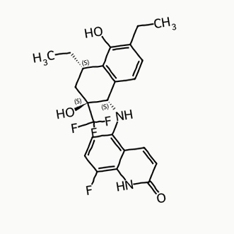 CCc1ccc2c(c1O)[C@@H](CC)C[C@@](O)(C(F)(F)F)[C@H]2Nc1ccc(F)c2[nH]c(=O)ccc12